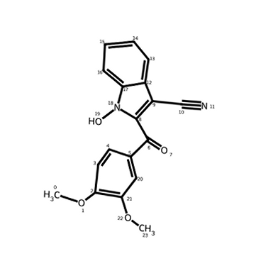 COc1ccc(C(=O)c2c(C#N)c3ccccc3n2O)cc1OC